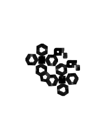 FC(F)(F)c1cccc([Si](c2ccccc2)(c2ccccc2)c2ccc3c(c2)-c2cc([Si](c4ccccc4)(c4ccccc4)c4cccc(C(F)(F)F)c4)ccc2C3)c1